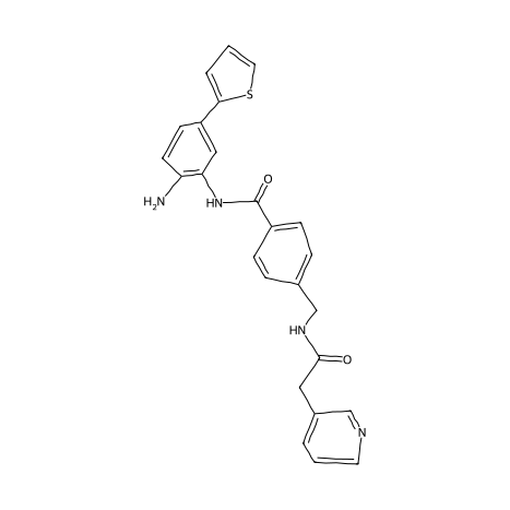 Nc1ccc(-c2cccs2)cc1NC(=O)c1ccc(CNC(=O)Cc2cccnc2)cc1